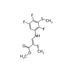 COC(=O)C(=CNc1cc(F)c(F)c(SC)c1F)SC